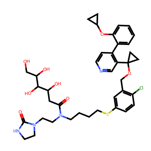 O=C(CC(O)C(O)C(O)CO)N(CCCCSc1ccc(Cl)c(COC2(c3cnccc3-c3ccccc3OC3CC3)CC2)c1)CCN1CCNC1=O